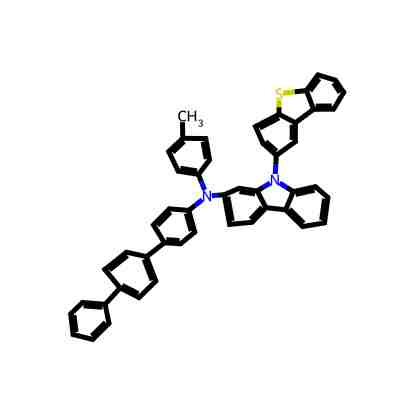 Cc1ccc(N(c2ccc(-c3ccc(-c4ccccc4)cc3)cc2)c2ccc3c4ccccc4n(-c4ccc5sc6ccccc6c5c4)c3c2)cc1